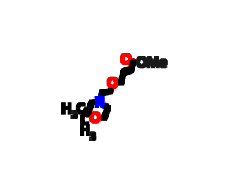 COC(=O)/C=C/COCCN1CCOC(C)(C)C1